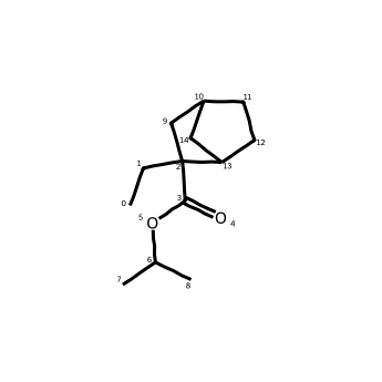 CCC1(C(=O)OC(C)C)CC2CCC1C2